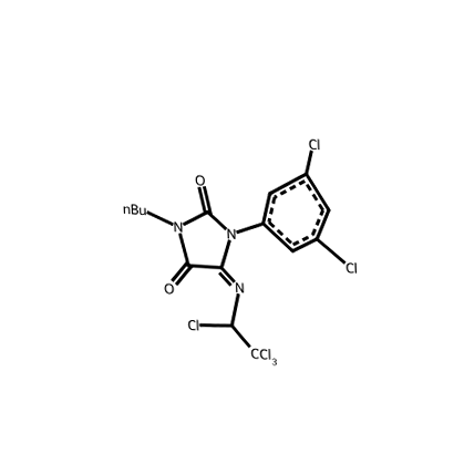 CCCCN1C(=O)C(=NC(Cl)C(Cl)(Cl)Cl)N(c2cc(Cl)cc(Cl)c2)C1=O